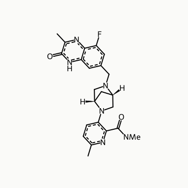 CNC(=O)c1nc(C)ccc1N1C[C@@H]2C[C@H]1CN2Cc1cc(F)c2nc(C)c(=O)[nH]c2c1